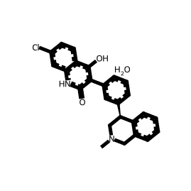 CN1Cc2ccccc2[C@H](c2cccc(-c3c(O)c4ccc(Cl)cc4[nH]c3=O)c2)C1.O